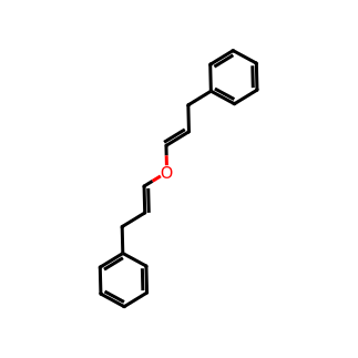 C(=COC=CCc1ccccc1)Cc1ccccc1